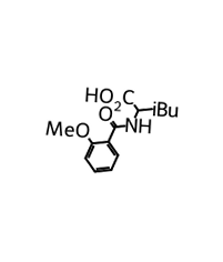 CCC(C)C(NC(=O)c1ccccc1OC)C(=O)O